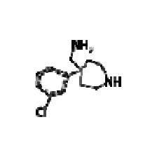 NCC1(c2cccc(Cl)c2)CCNCC1